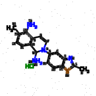 Cc1nc2cc(N3C=Cc4c(ccc(C)c4N)C3N)ccc2s1.Cl